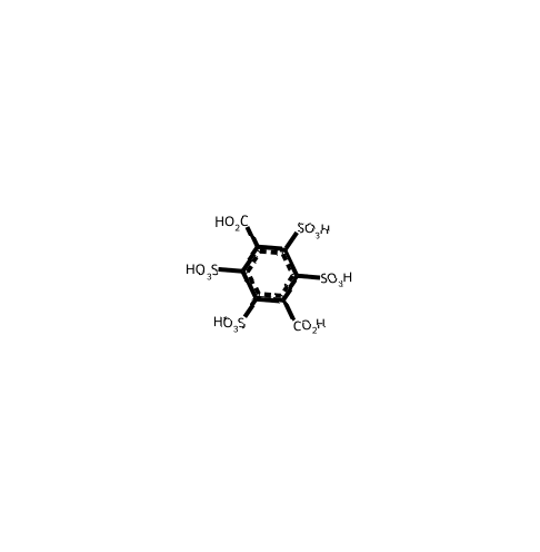 O=C(O)c1c(S(=O)(=O)O)c(S(=O)(=O)O)c(C(=O)O)c(S(=O)(=O)O)c1S(=O)(=O)O